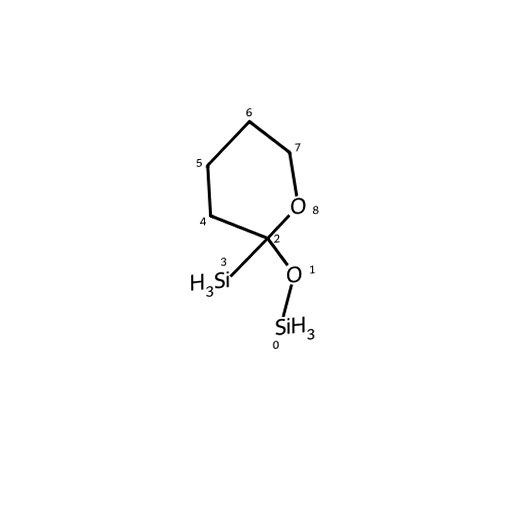 [SiH3]OC1([SiH3])CCCCO1